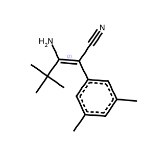 Cc1cc(C)cc(/C(C#N)=C(/N)C(C)(C)C)c1